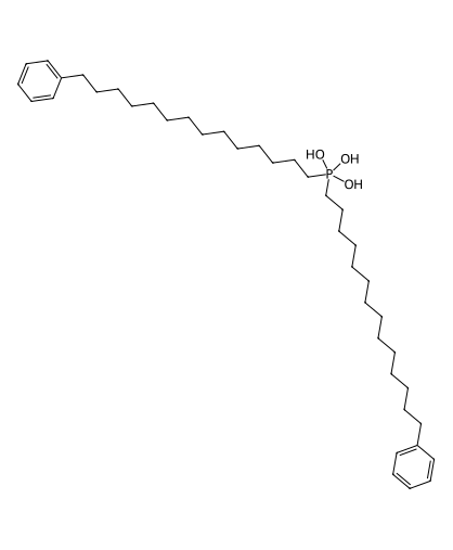 OP(O)(O)(CCCCCCCCCCCCCCc1ccccc1)CCCCCCCCCCCCCCc1ccccc1